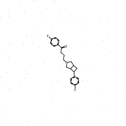 O=C(CCCN1CC2CC(c3ccc(F)cc3)C2C1)c1ccc(F)cc1